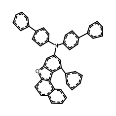 c1ccc(-c2ccc(N(c3ccc(-c4ccccc4)cc3)c3cc(-c4ccccc4)c4c(c3)oc3ccc5ccccc5c34)cc2)cc1